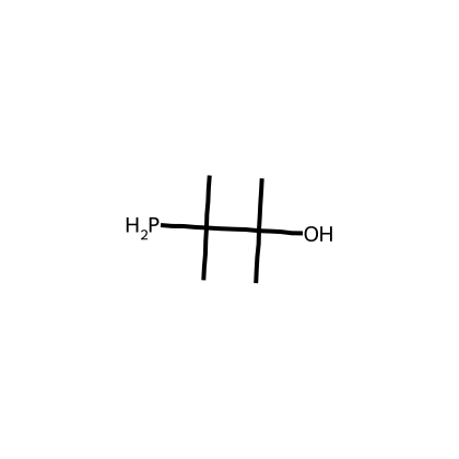 CC(C)(O)C(C)(C)P